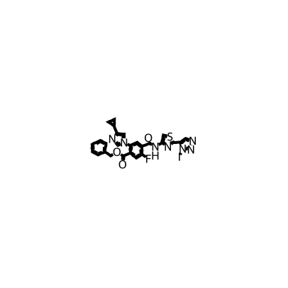 O=C(Nc1csc(-c2cnnn2I)n1)c1cc(-n2cnc(C3CC3)c2)c(C(=O)OCc2ccccc2)cc1F